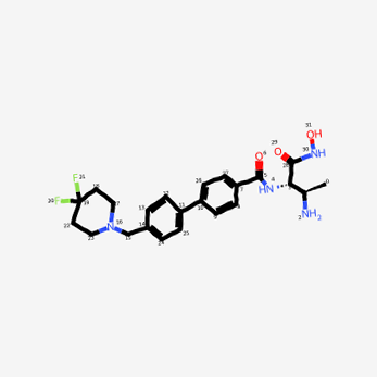 C[C@@H](N)[C@H](NC(=O)c1ccc(-c2ccc(CN3CCC(F)(F)CC3)cc2)cc1)C(=O)NO